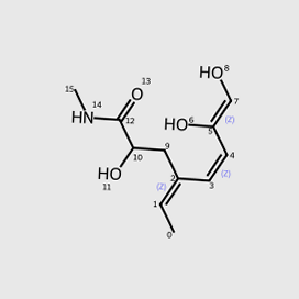 C\C=C(/C=C\C(O)=C\O)CC(O)C(=O)NC